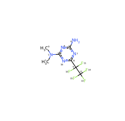 CN(C)c1nc(N)nc(C(F)(F)C(F)(F)F)n1